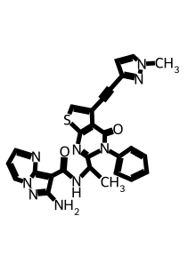 CC(NC(=O)c1c(N)nn2cccnc12)c1nc2scc(C#Cc3ccn(C)n3)c2c(=O)n1-c1ccccc1